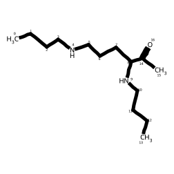 CCCCNCCCC(NCCCC)C(C)=O